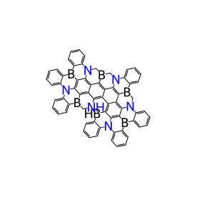 B1c2ccccc2N2c3ccccc3B3c4ccccc4N4CB5c6ccccc6N6CB7CN8c9ccccc9B9c%10ccccc%10N%10c%11ccccc%11B%11CNc%12c%13c%11c%10c9c8c%13c7c7c6c5c5c4c3c2c1c5c%127